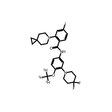 [2H]C([2H])([2H])Oc1ccc(NC(=O)c2ccc(I)cc2N2CCC3(CC2)CC3)cc1N1CCC(F)(F)CC1